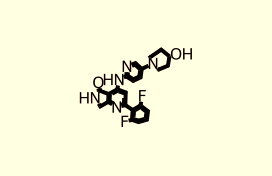 O=C1NCc2nc(-c3c(F)cccc3F)cc(Nc3ccc(N4CCC(O)CC4)cn3)c21